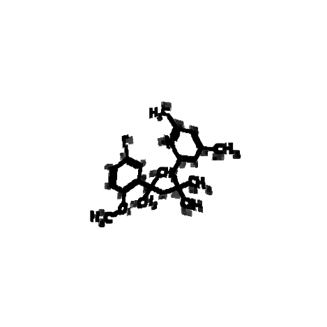 COc1ccc(F)cc1C(C)(C)CC(C)(O)Cc1cc(C)cc(C)n1